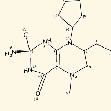 CCC1CN(C)C2=C(N[C@@](N)(Cl)NC2=O)N1C1CCCC1